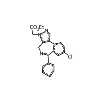 CCOC(=O)Cn1ncc2c1CN=C(c1ccccc1)c1cc(Cl)ccc1-2